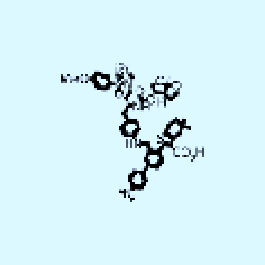 COc1ccc(S(=O)(=O)N(CC[C@H](Cc2ccc(NCc3cc(-c4ccc(N(C)C)cc4)ccc3-c3sc4c(c3C(=O)O)CC(C)(C)CC4)cc2)NC(=O)O[C@H]2CO[C@@]3(C)OCC[C@@H]23)CC(C)C)cc1